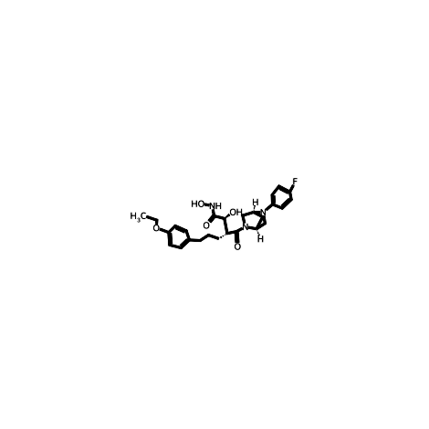 CCOc1ccc(CCC[C@@H](C(=O)N2C[C@@H]3C[C@H]2CN3c2ccc(F)cc2)[C@H](O)C(=O)NO)cc1